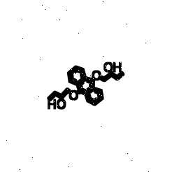 CCC(O)COc1c2ccccc2c(OCC(O)CC)c2ccccc12